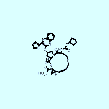 O=C(N[C@@H]1CCCCC/C=C\[C@@H]2C[C@]2(C(=O)C(=O)O)NC(=O)[C@@H]2C[C@H](Oc3nc4ccccc4nc3-c3cccs3)CN2C1=O)OC1CCCC1